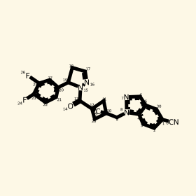 N#Cc1ccc2c(cnn2CC23CC(C(=O)N4N=CCC4c4ccc(F)c(F)c4)(C2)C3)c1